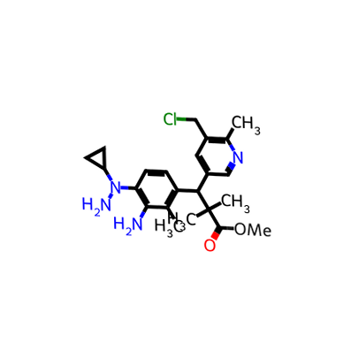 COC(=O)C(C)(C)C(c1cnc(C)c(CCl)c1)c1ccc(N(N)C2CC2)c(N)c1C